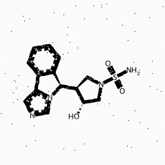 NS(=O)(=O)N1C[C@H]([C@@H]2c3ccccc3-c3cncn32)[C@@H](O)C1